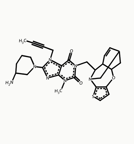 CC#CCn1c(N2CCCC(N)C2)nc2c1c(=O)n(CC1C3C=CC4CC3Oc3ccsc3N1C4)c(=O)n2C